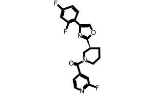 O=C(c1ccnc(F)c1)N1CCC[C@H](c2nc(-c3ccc(F)cc3F)co2)C1